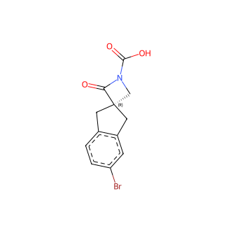 O=C(O)N1C[C@]2(Cc3ccc(Br)cc3C2)C1=O